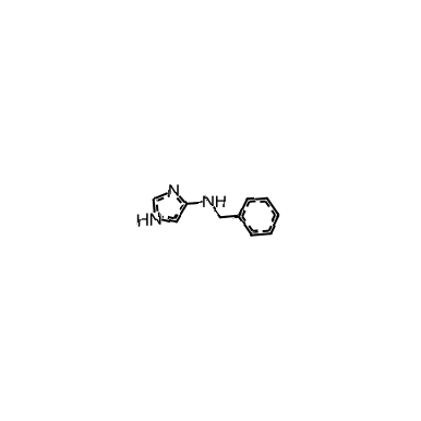 c1ccc(CNc2c[nH]cn2)cc1